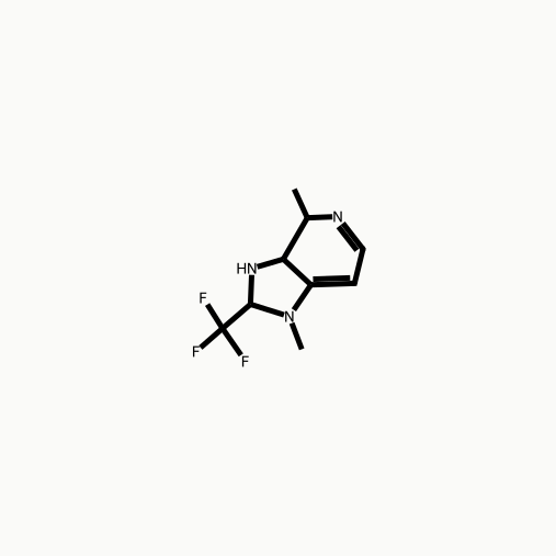 CC1N=CC=C2C1NC(C(F)(F)F)N2C